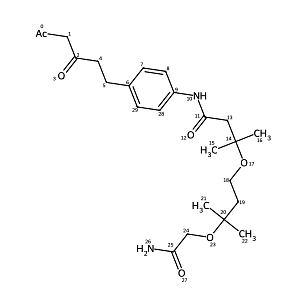 CC(=O)CC(=O)CCc1ccc(NC(=O)CC(C)(C)OCCC(C)(C)OCC(N)=O)cc1